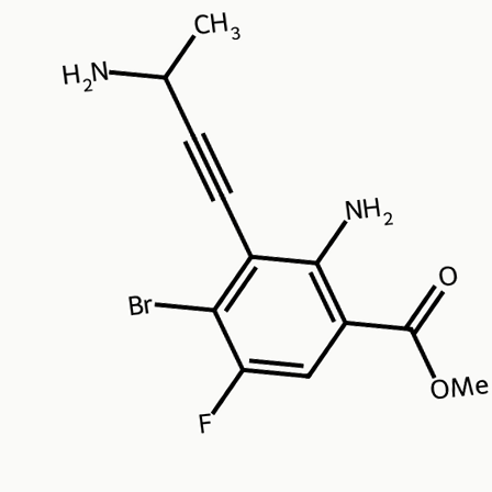 COC(=O)c1cc(F)c(Br)c(C#CC(C)N)c1N